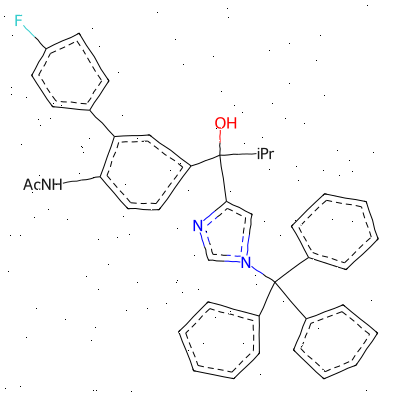 CC(=O)Nc1ccc(C(O)(c2cn(C(c3ccccc3)(c3ccccc3)c3ccccc3)cn2)C(C)C)cc1-c1ccc(F)cc1